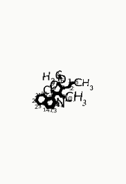 CCCC(C(=O)OC)c1c(C)nc2ccc3c(c2c1Cl)CCCC3